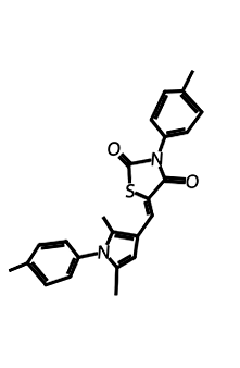 Cc1ccc(N2C(=O)SC(=Cc3cc(C)n(-c4ccc(C)cc4)c3C)C2=O)cc1